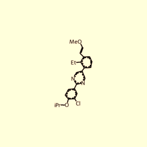 CCc1c(C=COC)cccc1-c1cnc(-c2ccc(OC(C)C)c(Cl)c2)nc1